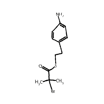 CC(C)(Br)C(=O)SCCc1ccc(N)cc1